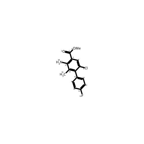 COC(=O)c1cc(Cl)c(-c2ccc(F)cc2)c(C)c1N